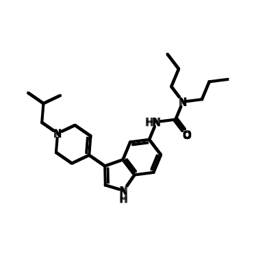 CCCN(CCC)C(=O)Nc1ccc2[nH]cc(C3=CCN(CC(C)C)CC3)c2c1